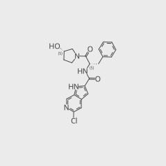 O=C(N[C@@H](Cc1ccccc1)C(=O)N1CC[C@H](O)C1)c1cc2cc(Cl)ncc2[nH]1